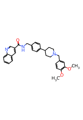 COc1ccc(CN2CCC(c3ccc(CNC(=O)c4cnc5ccccc5c4)cc3)CC2)cc1OC